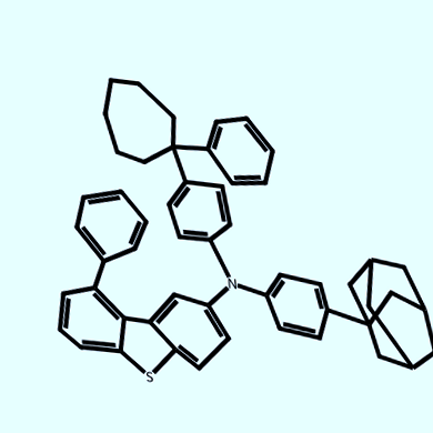 c1ccc(-c2cccc3sc4ccc(N(c5ccc(C67CC8CC(CC(C8)C6)C7)cc5)c5ccc(C6(c7ccccc7)CCCCCC6)cc5)cc4c23)cc1